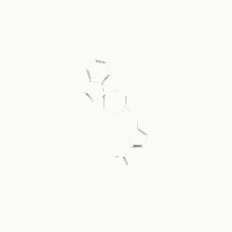 O=C(O)c1ccc(CN2CCC3(C=Cc4ccccc43)CC2)s1